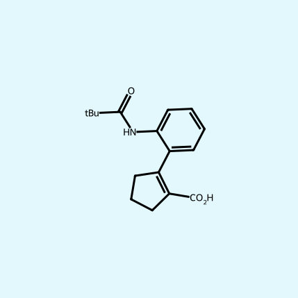 CC(C)(C)C(=O)Nc1ccccc1C1=C(C(=O)O)CCC1